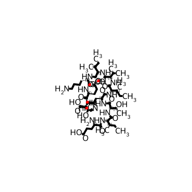 CC[C@H](C)[C@H](NC(=O)[C@H](Cc1c[nH]cn1)NC(=O)[C@@H](NC(=O)[C@@H](NC(=O)[C@@H](N)CCC(=O)O)[C@@H](C)CC)[C@@H](C)O)C(=O)N[C@H](C(=O)N[C@H](C(=O)N[C@@H](CCCCN)C(=O)N[C@@H](CCC(=O)O)C(=O)N[C@@H](CO)C(=O)O)[C@@H](C)CC)C(C)C